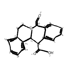 O=C(O)C1c2ccccc2C(=O)N2CCc3ccccc3C12